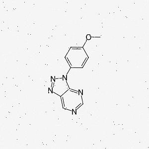 COc1ccc(-n2nnc3cncnc32)cc1